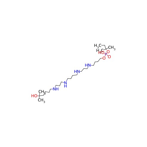 CCC(C)(C)OP(=O)(O)OCCCCNCCCNCCCCNCCCNCCCCC(C)(C)O